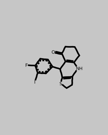 O=C1CCCC2=C1C(c1ccc(F)c(I)c1)C1=C(CCS1)N2